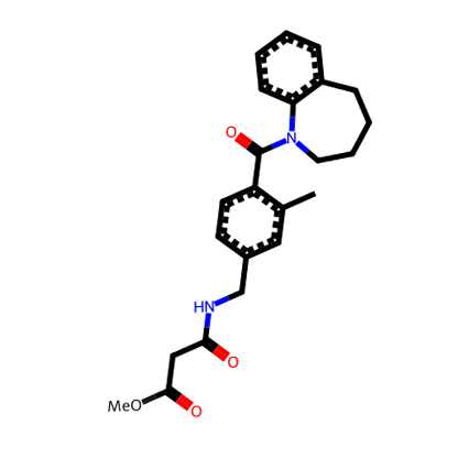 COC(=O)CC(=O)NCc1ccc(C(=O)N2CCCCc3ccccc32)c(C)c1